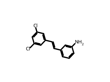 Nc1cccc(/C=C/c2cc(Cl)cc(Cl)c2)c1